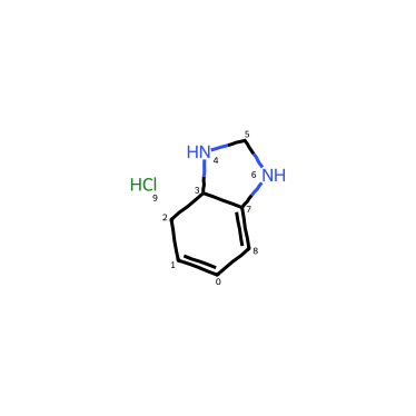 C1=CCC2NCNC2=C1.Cl